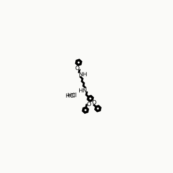 Cl.Cl.c1ccc(COc2ccc(CCNCCCCCCNCCOc3ccccc3)cc2OCc2ccccc2)cc1